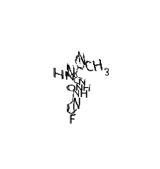 Cc1cc(-c2n[nH]c3cc(NC(=O)NCc4ccc(F)cn4)ncc23)ccn1